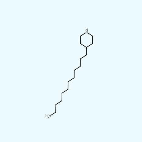 NCCCCCCCCCCCC1CCNCC1